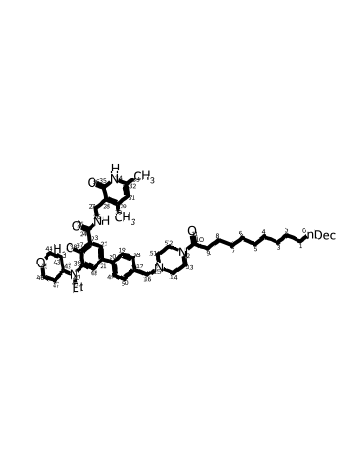 CCCCCCCCCCCCCCCCCCCC(=O)N1CCN(Cc2ccc(-c3cc(C(=O)NCc4c(C)cc(C)[nH]c4=O)c(C)c(N(CC)C4CCOCC4)c3)cc2)CC1